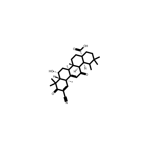 CC1[C@H]2[C@H]3C(=O)C=C4[C@@]5(C)C=C(C#N)C(=O)C(C)(C)[C@@H]5[C@H](O)C[C@@]4(C)[C@]3(C)CC[C@@]2(C(=O)O)CCC1(C)C